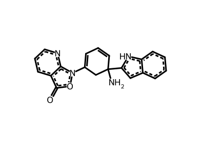 NC1(c2cc3ccccc3[nH]2)C=CC=C(n2oc(=O)c3cccnc32)C1